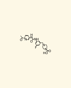 CC(=O)c1ccc(NC(=O)Nc2cc(F)cc(CN3CCN(C(=O)O)CC3)c2)cn1